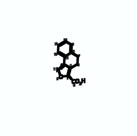 O=C(O)c1onc2c1CCc1ccccc1-2